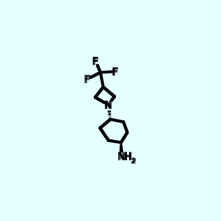 N[C@H]1CC[C@H](N2CC(C(F)(F)F)C2)CC1